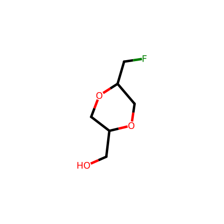 OCC1COC(CF)CO1